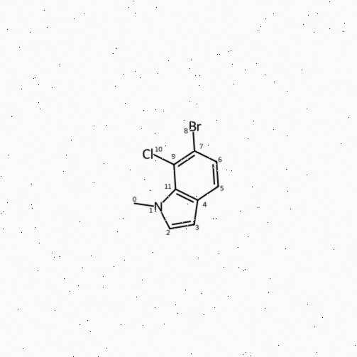 Cn1ccc2ccc(Br)c(Cl)c21